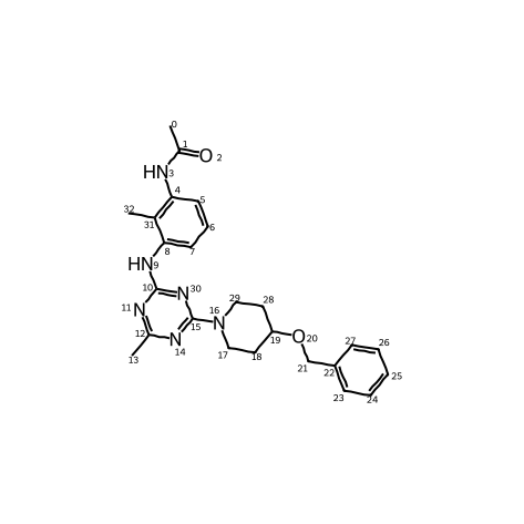 CC(=O)Nc1cccc(Nc2nc(C)nc(N3CCC(OCc4ccccc4)CC3)n2)c1C